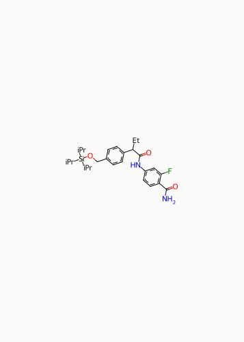 CCC(C(=O)Nc1ccc(C(N)=O)c(F)c1)c1ccc(CO[Si](C(C)C)(C(C)C)C(C)C)cc1